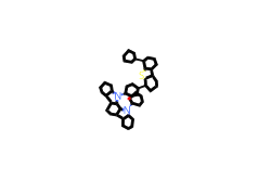 c1ccc(-c2cccc3c2sc2c(-c4ccc(-n5c6ccccc6c6ccc7c8ccccc8n(-c8ccccc8)c7c65)cc4)cccc23)cc1